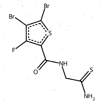 NC(=S)CNC(=O)c1sc(Br)c(Br)c1F